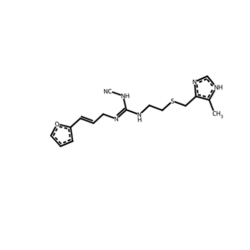 Cc1[nH]cnc1CSCCNC(=NCC=Cc1ccco1)NC#N